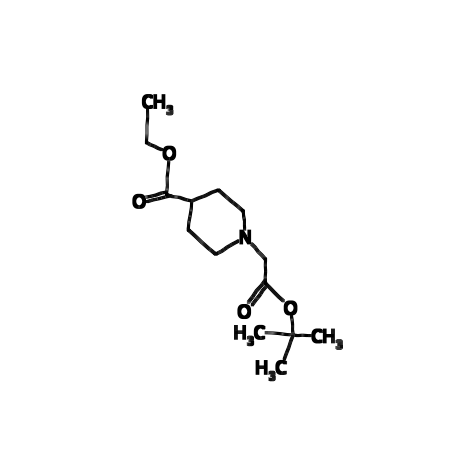 CCOC(=O)C1CCN(CC(=O)OC(C)(C)C)CC1